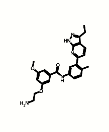 CCc1n[nH]c2nc(-c3cc(NC(=O)c4cc(OC)cc(OCCN)c4)ccc3C)ccc12